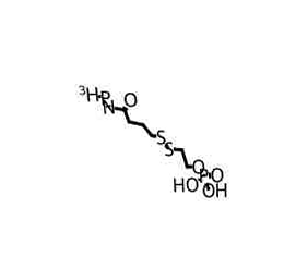 [3H]/P=N/C(=O)CCCSSCCOP(=O)(O)O